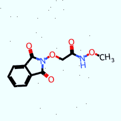 CONC(=O)CON1C(=O)c2ccccc2C1=O